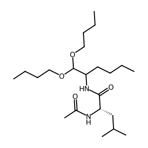 CCCCOC(OCCCC)C(CCCC)NC(=O)[C@H](CC(C)C)NC(C)=O